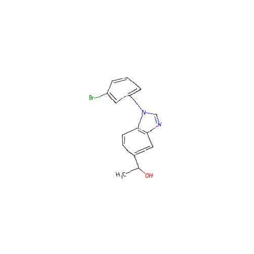 CC(O)c1ccc2c(c1)ncn2-c1cccc(Br)c1